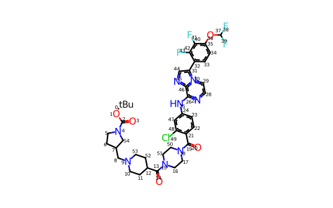 CC(C)(C)OC(=O)N1CCC(CN2CCC(C(=O)N3CCN(C(=O)c4ccc(Nc5nccn6c(-c7ccc(OC(F)F)c(F)c7F)cnc56)cc4Cl)CC3)CC2)C1